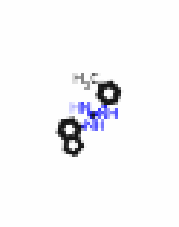 Cc1cccc(NC(=N)Nc2cccc3c2CCC3)c1